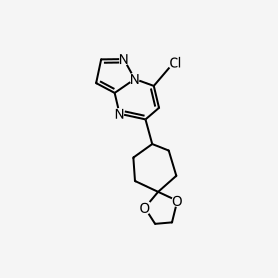 Clc1cc(C2CCC3(CC2)OCCO3)nc2ccnn12